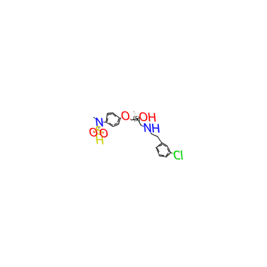 CN(c1ccc(OC[C@@](C)(O)CNCCc2cccc(Cl)c2)cc1)[SH](=O)=O